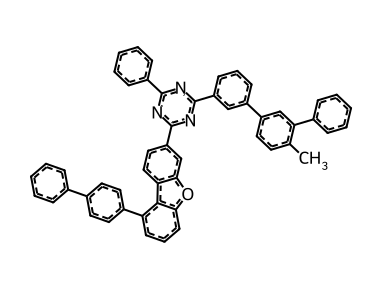 Cc1ccc(-c2cccc(-c3nc(-c4ccccc4)nc(-c4ccc5c(c4)oc4cccc(-c6ccc(-c7ccccc7)cc6)c45)n3)c2)cc1-c1ccccc1